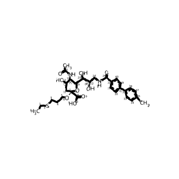 CCSCCCO[C@]1(C(=O)O)CC(O)[C@@H](NC(C)=O)C(C(O)[C@H](O)CNC(=O)c2ccc(-c3ccc(C)cc3)cc2)O1